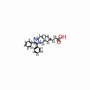 CCc1nc(-c2ccccc2)c(-c2ccccc2)n1CCCCCCC(=O)O